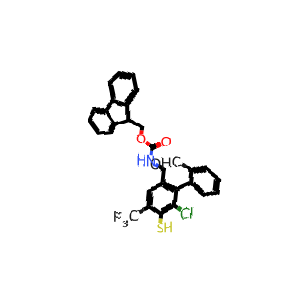 O=Cc1ccccc1-c1c(CNC(=O)OCC2c3ccccc3-c3ccccc32)cc(C(F)(F)F)c(S)c1Cl